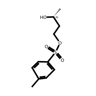 Cc1ccc(S(=O)(=O)OCC[C@@H](C)O)cc1